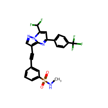 CNS(=O)(=O)c1cccc(C#Cc2cnn3c(C(F)F)cc(-c4ccc(C(F)(F)F)cc4)nc23)c1